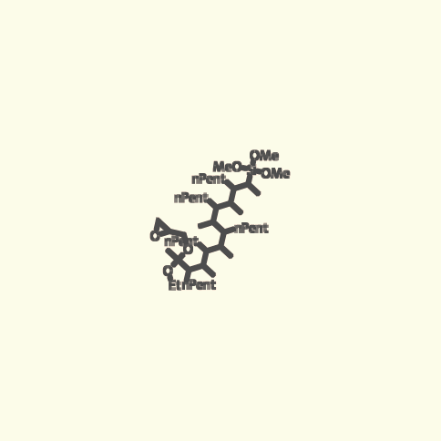 CCCCCC(C(C)C(CCCCC)C(C)C(CCCCC)C(C)[Si](OC)(OC)OC)C(C)C(CCCCC)C(C)C(CCCCC)C(C)(OCC)OCC1CO1